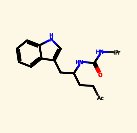 CC(=O)CCC(Cc1c[nH]c2ccccc12)NC(=O)NC(C)C